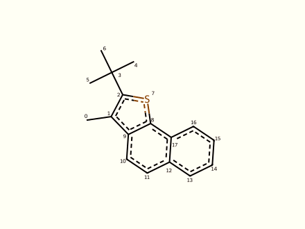 Cc1c(C(C)(C)C)sc2c1ccc1ccccc12